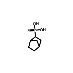 OP(O)(=S)C1CC2CCC1C2